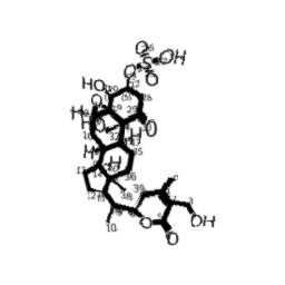 CC1=C(CO)C(=O)O[C@@H]([C@@H](C)[C@H]2CC[C@H]3[C@@H]4C[C@H]5O[C@]56[C@@H](O)[C@@H](OS(=O)(=O)O)CC(=O)[C@]6(CO)[C@H]4CC[C@]23C)C1